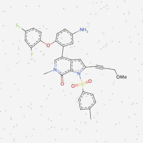 COCC#Cc1cc2c(-c3cc(N)ccc3Oc3ccc(F)cc3F)cn(C)c(=O)c2n1S(=O)(=O)c1ccc(C)cc1